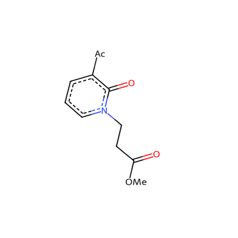 COC(=O)CCn1cccc(C(C)=O)c1=O